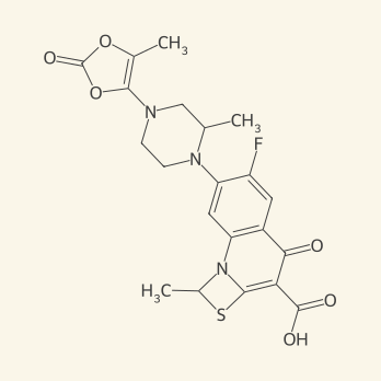 Cc1oc(=O)oc1N1CCN(c2cc3c(cc2F)c(=O)c(C(=O)O)c2n3C(C)S2)C(C)C1